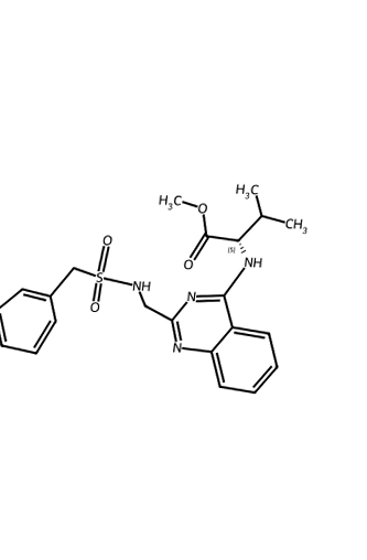 COC(=O)[C@@H](Nc1nc(CNS(=O)(=O)Cc2ccccc2)nc2ccccc12)C(C)C